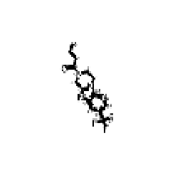 CCCC(=O)N1CCn2c(nc3cc(C(F)(F)F)cnc32)C1